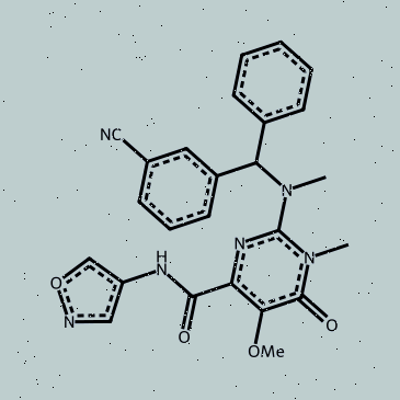 COc1c(C(=O)Nc2cnoc2)nc(N(C)C(c2ccccc2)c2cccc(C#N)c2)n(C)c1=O